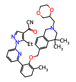 CCc1c(C(=O)C#N)cnn1-c1cccc(C2=CCCC(C)=C2OCc2ccc3c(c2)C(C)(C)CN(CC2COCCO2)C3)n1